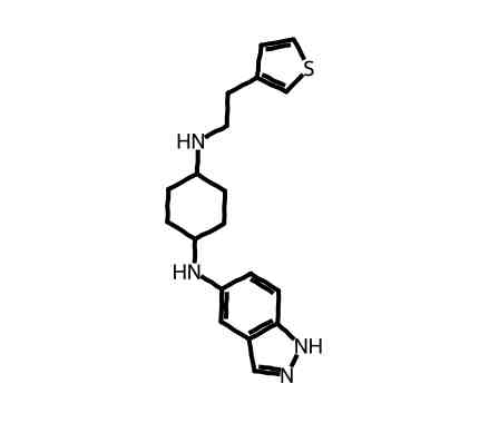 c1cc(CCNC2CCC(Nc3ccc4[nH]ncc4c3)CC2)cs1